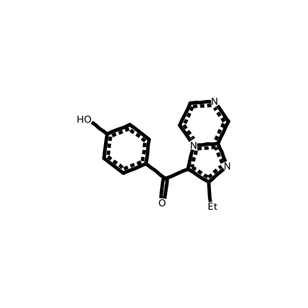 CCc1nc2cnccn2c1C(=O)c1ccc(O)cc1